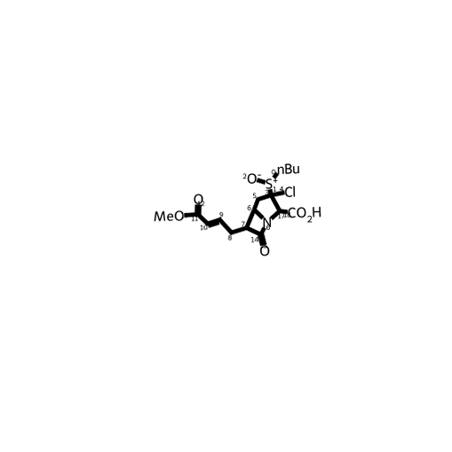 CCCC[S+]([O-])C1(Cl)CC2C(C/C=C/C(=O)OC)C(=O)N2C1C(=O)O